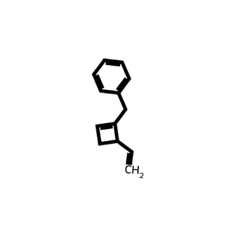 C=CC1CC=C1Cc1ccccc1